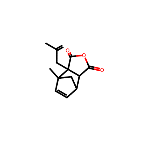 C=C(C)CC12C(=O)OC(=O)C1C1C=CC2(C)C1